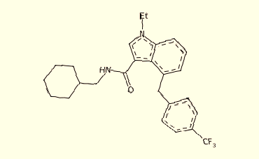 CCn1cc(C(=O)NCC2CCCCC2)c2c(Cc3ccc(C(F)(F)F)cc3)cccc21